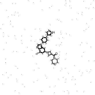 O=C(C1CN(c2cc(F)c3ncn(-c4ccc(-c5cn[nH]c5)cc4)c3c2)C1)N1CCOCC1